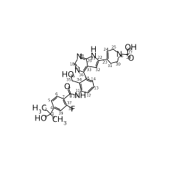 CC(C)(O)c1ccc(C(=O)Nc2cccc(-c3ncnc4[nH]c(C5=CCN(C(=O)O)CC5)cc34)c2CO)c(F)c1